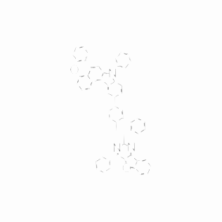 c1ccc(-c2nc(C3Cc4ccc(-c5ccc6c(c5)c5c7cccc8c7c(cc5n6-c5ccccc5)-c5ccccc5O8)cc4-c4ccccc43)nc3c2oc2ccccc23)cc1